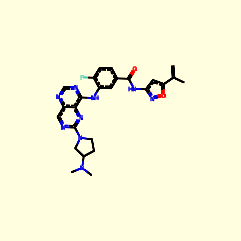 C=C(C)c1cc(NC(=O)c2ccc(F)c(Nc3ncnc4cnc(N5CCC(N(C)C)C5)nc34)c2)no1